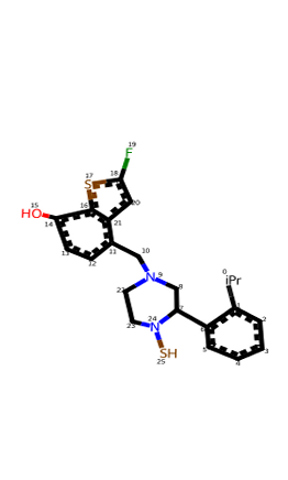 CC(C)c1ccccc1C1CN(Cc2ccc(O)c3sc(F)cc23)CCN1S